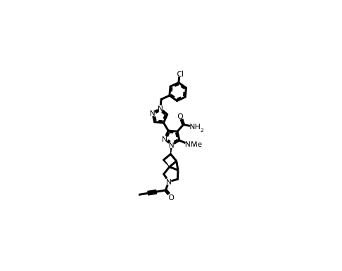 CC#CC(=O)N1CC2C3[C@H](n4nc(-c5cnn(Cc6cccc(Cl)c6)c5)c(C(N)=O)c4NC)C[C@]23C1